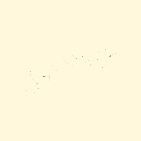 Cc1cc(C)c(NC(=O)c2sc(NC(=O)NC3CCc4ccccc43)nc2C)c(C)c1